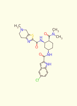 CN1CCc2nc(C(=O)N[C@@H]3C[C@H](NC(=O)c4cc5cc(Cl)ccc5[nH]4)CC[C@@H]3C(=O)N(C)C)sc2C1